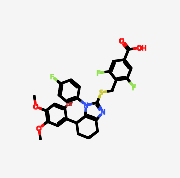 COc1cc(Br)c(C2CCCc3nc(SCc4c(F)cc(C(=O)O)cc4F)n(-c4ccc(F)cc4)c32)cc1OC